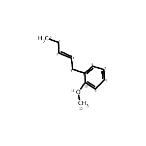 CCC=CCc1ccccc1OC